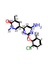 CCc1cccc(Cl)c1Oc1nc(N)cc(-c2cc(C)c(=O)n(C)c2)n1